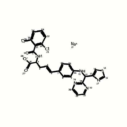 O=C(NC(C/C=C/c1ccc(NC(c2cscn2)c2ncccn2)cc1)C(=O)[O-])c1c(Cl)cccc1Cl.[Na+]